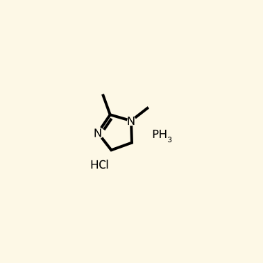 CC1=NCCN1C.Cl.P